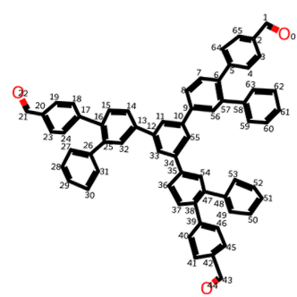 O=Cc1ccc(-c2ccc(-c3cc(-c4ccc(-c5ccc(C=O)cc5)c(-c5ccccc5)c4)cc(-c4ccc(-c5ccc(C=O)cc5)c(-c5ccccc5)c4)c3)cc2-c2ccccc2)cc1